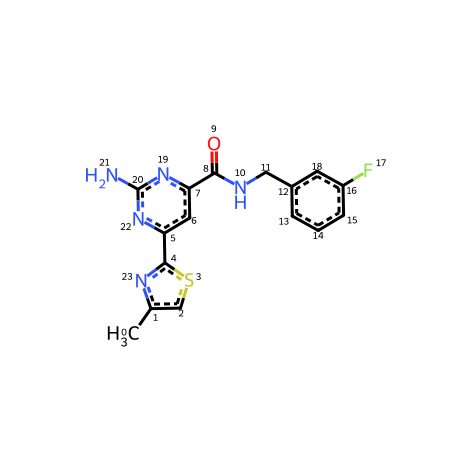 Cc1csc(-c2cc(C(=O)NCc3cccc(F)c3)nc(N)n2)n1